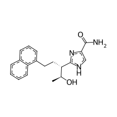 C[C@H](O)[C@H](CCc1cccc2ccccc12)c1nc(C(N)=O)c[nH]1